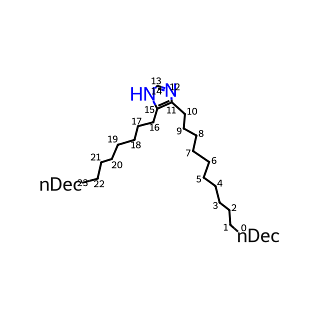 CCCCCCCCCCCCCCCCCCCCc1nc[nH]c1CCCCCCCCCCCCCCCCC